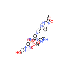 COc1ncc(CN2CCN(C3CC4(CCN(c5ccc(C(=O)NS(=O)(=O)c6ccc(NCC7CCC(C)(O)CC7)c([N+](=O)[O-])c6)c(N6c7cc8cc[nH]c8nc7O[C@H]7COCC[C@@H]76)c5)CC4)C3)[C@H](c3ccccc3C)C2)c2cc(C)oc12